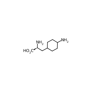 NC1CCC(C[C@H](N)C(=O)O)CC1